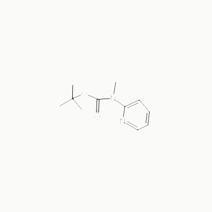 CN(C(=O)OC(C)(C)C)c1c[c]ccn1